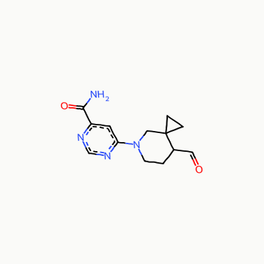 NC(=O)c1cc(N2CCC(C=O)C3(CC3)C2)ncn1